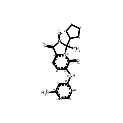 CC1(C2CCCC2)N(C#N)C(=O)c2ccc(Nc3cc(N)ncn3)c(=O)n21